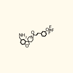 NCc1ccc2c(c1)C1(CCN(C(=O)/C=C/c3cccc(OC(F)(F)F)c3)CC1)CO2